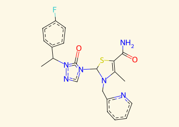 CC1=C(C(N)=O)SC(n2cnn(C(C)c3ccc(F)cc3)c2=O)N1Cc1ccccn1